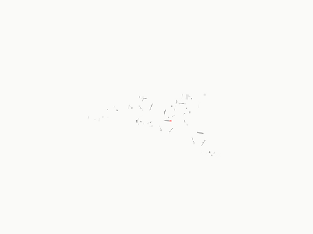 CCCC(CC)Nc1nc(N(Cc2ccc(OC)cc2)Cc2ccc(OC)cc2)c2ncc(C(O)c3cnc(N4CCN(C(=O)OC(C)(C)C)CC4)c(C)c3)n2n1